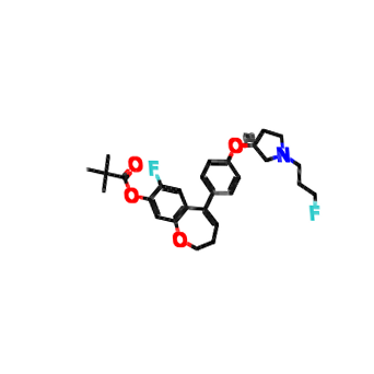 CC(C)(C)C(=O)Oc1cc2c(cc1F)C(c1ccc(O[C@H]3CCN(CCCF)C3)cc1)=CCCO2